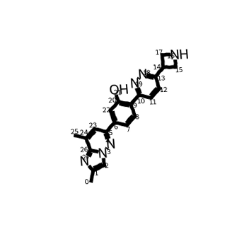 Cc1cn2nc(-c3ccc(-c4ccc(C5CNC5)nn4)c(O)c3)cc(C)c2n1